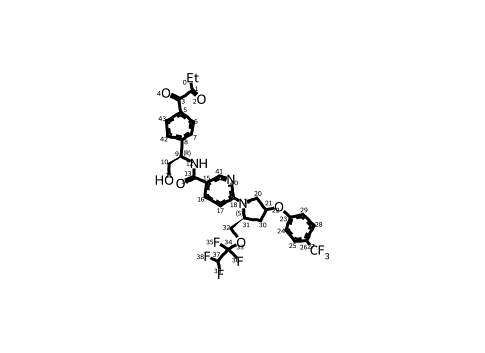 CCC(=O)C(=O)c1ccc([C@H](CO)NC(=O)c2ccc(N3CC(Oc4ccc(C(F)(F)F)cc4)C[C@H]3COC(F)(F)C(F)F)nc2)cc1